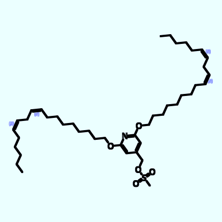 CCCCC/C=C\C/C=C\CCCCCCCCOc1cc(COS(C)(=O)=O)cc(OCCCCCCCC/C=C\C/C=C\CCCCC)n1